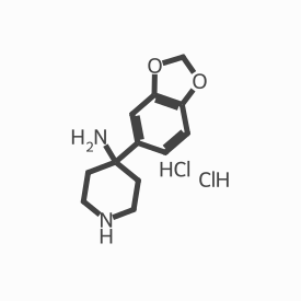 Cl.Cl.NC1(c2ccc3c(c2)OCO3)CCNCC1